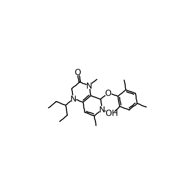 CCC(CC)N1CC(=O)N(C)C2=C1C=C(C)N(O)C2Oc1c(C)cc(C)cc1C